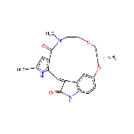 Cc1cc2c([nH]1)/C=C1\C(=O)Nc3ccc(cc31)O[C@@H](C)COCCN(C)C2=O